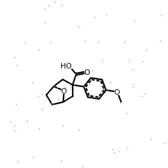 COc1ccc(C2(C(=O)O)CC3CCC(C2)O3)cc1